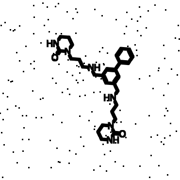 O=C1NCCCN1CCCNCc1cc(CNCCCN2CCCNC2=O)cc(-c2ccccc2)c1